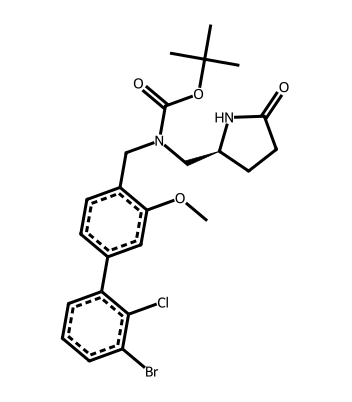 COc1cc(-c2cccc(Br)c2Cl)ccc1CN(C[C@@H]1CCC(=O)N1)C(=O)OC(C)(C)C